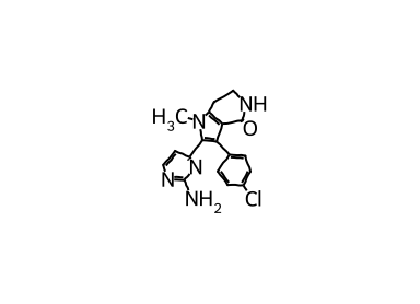 Cn1c2c(c(-c3ccc(Cl)cc3)c1-c1ccnc(N)n1)C(=O)NCC2